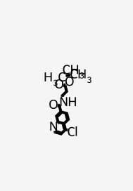 CC(C)(C)OC(=O)CCNC(=O)c1ccc2c(Cl)ccnc2c1